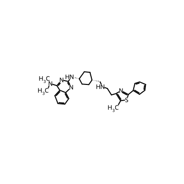 Cc1sc(-c2ccccc2)nc1CCNC[C@H]1CC[C@@H](Nc2nc(N(C)C)c3ccccc3n2)CC1